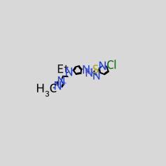 CCN(CCn1cc[n+](C)c1)c1ccc(/N=N/c2nc3ccc(Cl)nc3s2)cc1